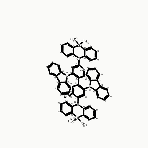 C[Si]1(C)c2ccccc2N(c2cc(-n3c4ccccc4c4ccccc43)c(-c3cc(C#N)c(N4c5ccccc5[Si](C)(C)c5ccccc54)cc3-n3c4ccccc4c4ccccc43)cn2)c2ccccc21